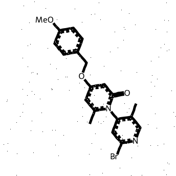 COc1ccc(COc2cc(C)n(-c3cc(Br)ncc3C)c(=O)c2)cc1